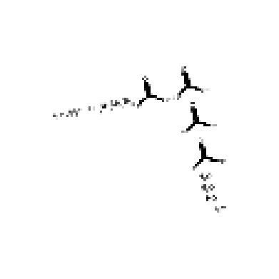 N.N.N.O.O.O.O.O=C([O-])[O-].O=C([O-])[O-].O=C([O-])[O-].O=C([O-])[O-].[Al+3].[Al+3].[Al+3].[OH-]